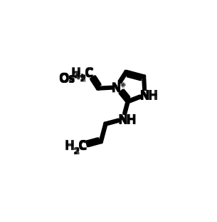 C=CCNc1[nH]cc[n+]1C=C.[Os+4]